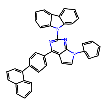 c1ccc(-n2ccc3c(-c4ccc(-c5cccc6ccccc56)cc4)nc(-n4c5ccccc5c5ccccc54)nc32)cc1